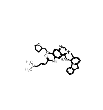 CN(C)CC=CC(=O)Nc1cc2c([AsH]c3c(Cl)ccc4c3-c3ccccc3C4)ncnc2cc1OC[C@H]1CCCO1